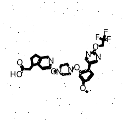 COc1ccc(-c2cnc(OCC(F)(F)F)nc2)c(ON2CCN(Oc3cc4c(cn3)CCC4CC(=O)O)CC2)c1